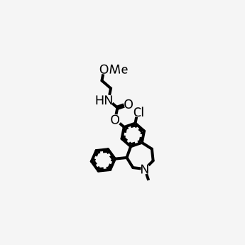 COCCNC(=O)Oc1cc2c(cc1Cl)CCN(C)CC2c1ccccc1